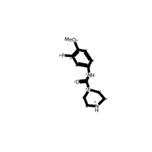 COc1ccc(NC(=O)N2CCNCC2)cc1F